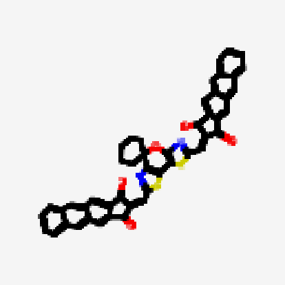 O=C1C(=Cc2nc3c(s2)-c2sc(C=C4C(=O)c5cc6cc7ccccc7cc6cc5C4=O)nc2C2(CCCCC2)O3)C(=O)c2cc3cc4ccccc4cc3cc21